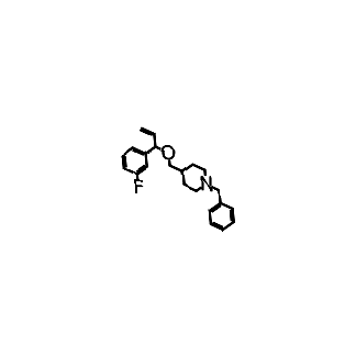 C=CC(OCC1CCN(Cc2ccccc2)CC1)c1cccc(F)c1